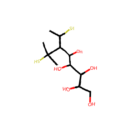 CC(S)C(C(O)C(O)C(O)C(O)CO)C(C)(C)S